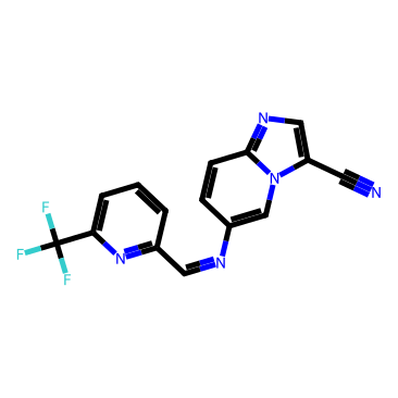 N#Cc1cnc2ccc(/N=C\c3cccc(C(F)(F)F)n3)cn12